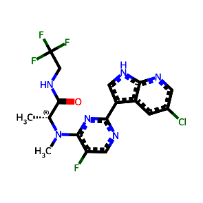 C[C@H](C(=O)NCC(F)(F)F)N(C)c1nc(-c2c[nH]c3ncc(Cl)cc23)ncc1F